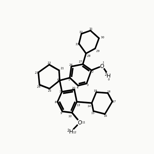 [2H]Oc1ccc(C2(c3ccc(O[2H])c(C4CCCCC4)c3)CCCCC2)cc1C1CCCCC1